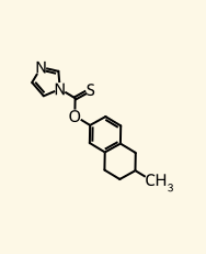 CC1CCc2cc(OC(=S)n3ccnc3)ccc2C1